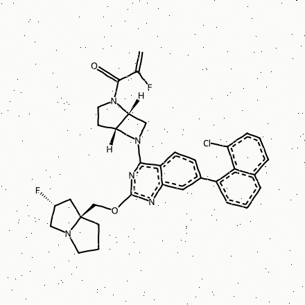 C=C(F)C(=O)N1CC[C@@H]2[C@H]1CN2c1nc(OC[C@@]23CCCN2C[C@H](F)C3)nc2cc(-c3cccc4cccc(Cl)c34)ccc12